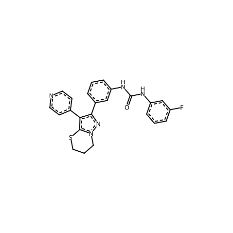 O=C(Nc1cccc(F)c1)Nc1cccc(-c2nn3c(c2-c2ccncc2)SCCC3)c1